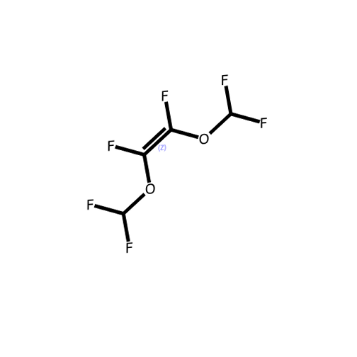 F/C(OC(F)F)=C(\F)OC(F)F